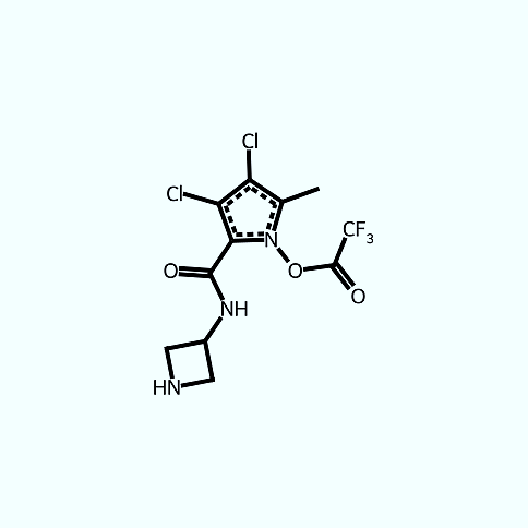 Cc1c(Cl)c(Cl)c(C(=O)NC2CNC2)n1OC(=O)C(F)(F)F